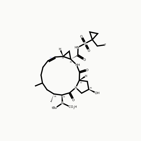 CC1CC/C=C\[C@@H]2C[C@@]2(C(=O)NS(=O)(=O)C2(CF)CC2)NC(=O)[C@@H]2C[C@@H](O)CN2C(=O)[C@@H](N(C(=O)O)C(C)(C)C)[C@H](C)C1